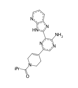 CC(C)C(=O)N1CC=C(c2cnc(N)c(-c3nc4cccnc4[nH]3)n2)CC1